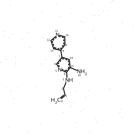 C=CCNc1ncc(-c2ccncc2)cc1N